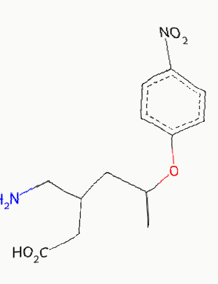 CC(CC(CN)CC(=O)O)Oc1ccc([N+](=O)[O-])cc1